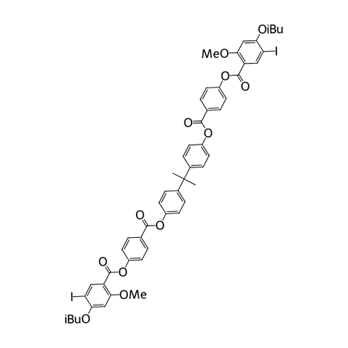 COc1cc(OCC(C)C)c(I)cc1C(=O)Oc1ccc(C(=O)Oc2ccc(C(C)(C)c3ccc(OC(=O)c4ccc(OC(=O)c5cc(I)c(OCC(C)C)cc5OC)cc4)cc3)cc2)cc1